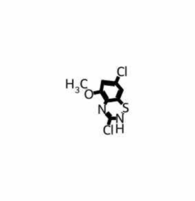 COc1cc(Cl)cc2c1N=C(Cl)NS2